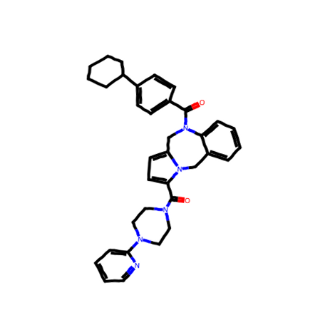 O=C(c1ccc2n1Cc1ccccc1N(C(=O)c1ccc(C3CCCCC3)cc1)C2)N1CCN(c2ccccn2)CC1